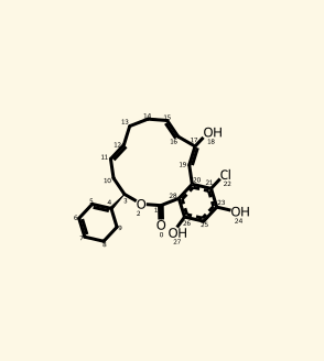 O=C1O[C@@H](C2=CC=CCC2)C/C=C/CC/C=C/C(O)=C/c2c(Cl)c(O)cc(O)c21